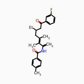 C=C(NC(=O)c1ccc(C)cc1)/C(C)=C(\C)CC(CC)CC(=O)c1cccc(F)c1